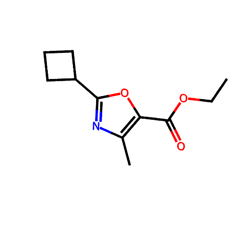 CCOC(=O)c1oc(C2CCC2)nc1C